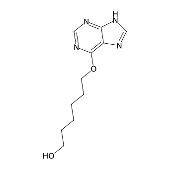 OCCCCCCOc1ncnc2[nH]cnc12